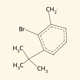 [CH2]c1cccc(C(C)(C)C)c1Br